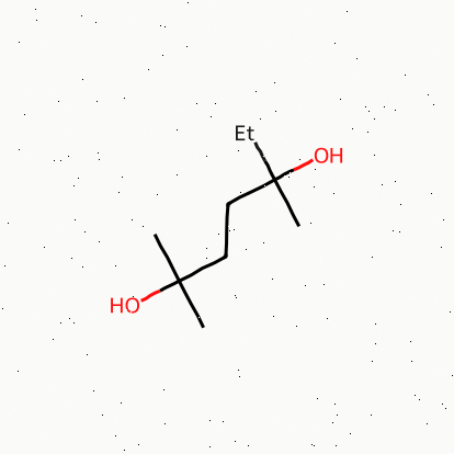 CCC(C)(O)CCC(C)(C)O